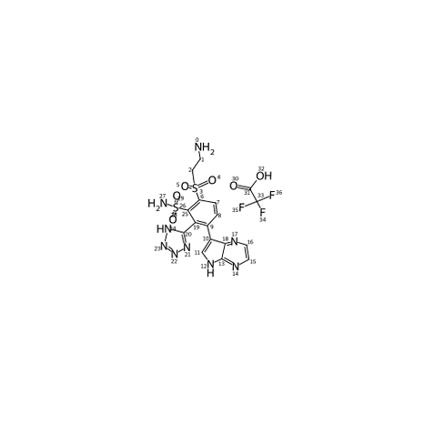 NCCS(=O)(=O)c1ccc(-c2c[nH]c3nccnc23)c(-c2nnn[nH]2)c1S(N)(=O)=O.O=C(O)C(F)(F)F